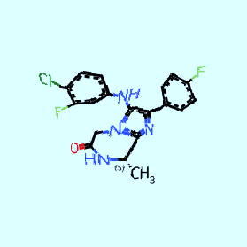 C[C@@H]1NC(=O)Cn2c1nc(-c1ccc(F)cc1)c2Nc1ccc(Cl)c(F)c1